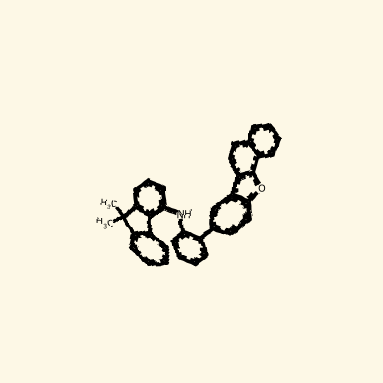 CC1(C)c2ccccc2-c2c(Nc3ccccc3-c3ccc4oc5c6ccccc6ccc5c4c3)cccc21